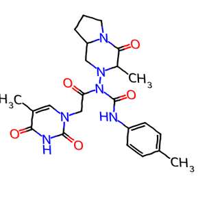 Cc1ccc(NC(=O)N(C(=O)Cn2cc(C)c(=O)[nH]c2=O)N2CC3CCCN3C(=O)C2C)cc1